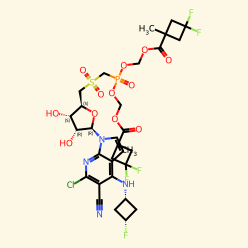 CC1(C(=O)OCOP(=O)(CS(=O)(=O)C[C@H]2O[C@@H](n3ccc4c(N[C@H]5C[C@@H](F)C5)c(C#N)c(Cl)nc43)[C@H](O)[C@@H]2O)OCOC(=O)C2(C)CC(F)(F)C2)CC(F)(F)C1